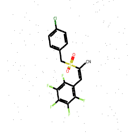 N#C/C(=C/c1c(F)c(F)c(F)c(F)c1F)S(=O)(=O)Cc1ccc(Cl)cc1